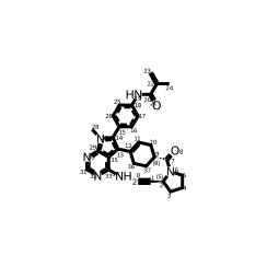 C#C[C@@H]1CCCN1C(=O)[C@H]1CC=C(c2c(-c3ccc(NC(=O)C(=C)C)cc3)n(C)c3ncnc(N)c23)CC1